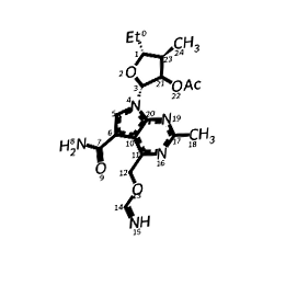 CC[C@H]1O[C@@H](n2cc(C(N)=O)c3c(COC=N)nc(C)nc32)C(OC(C)=O)[C@@H]1C